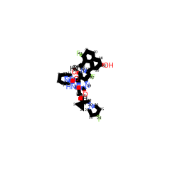 C#CCNC(=O)N1C2CCC1CN(c1nc(OCC3(CN4CCC(F)CC4)CC3)nc3c(F)c(-c4cc(O)cc5ccc(F)c(C#C)c45)nc(OC)c13)C2